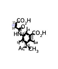 CC(=O)N(C)c1c(I)c(NC(=O)/C=C\C(=O)O)c(I)c(C(=O)O)c1I